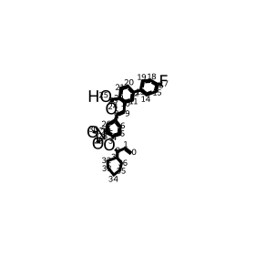 C=CC(Oc1ccc(C=Cc2cc(-c3ccc(F)cc3)ccc2C(=O)O)cc1[N+](=O)[O-])C1CCCCC1